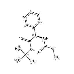 COC(=O)[AsH][C@@H](C(=O)OC(C)(C)C)c1ccccc1